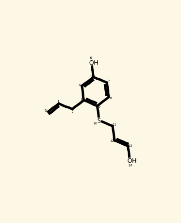 C=CCc1cc(O)ccc1SCC=CO